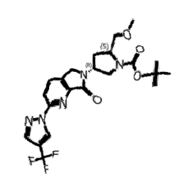 COC[C@@H]1C[C@@H](N2Cc3ccc(-n4cc(C(F)(F)F)cn4)nc3C2=O)CN1C(=O)OC(C)(C)C